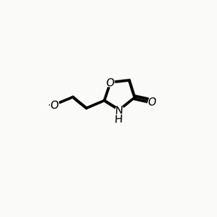 [O]CCC1NC(=O)CO1